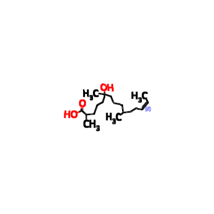 C/C=C\CCC(C)CCCC(C)(O)CCCC(C)C(=O)O